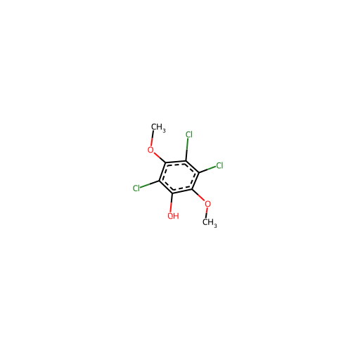 COc1c(O)c(Cl)c(OC)c(Cl)c1Cl